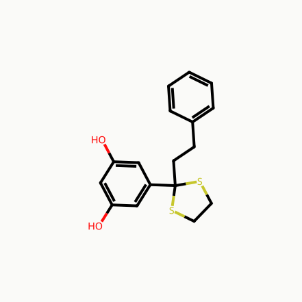 Oc1cc(O)cc(C2(CCc3ccccc3)SCCS2)c1